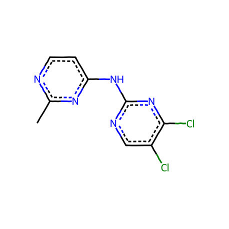 Cc1nccc(Nc2ncc(Cl)c(Cl)n2)n1